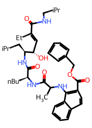 CCCC[C@H](NC(=O)C(C)Nc1c(C(=O)OCc2ccccc2)ccc2ccccc12)C(=O)N[C@@H](CC(C)C)[C@@H](O)/C=C(\CC)C(=O)NCC(C)C